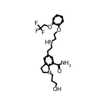 NC(=O)c1cc(CCNCCOc2ccccc2OCC(F)(F)F)cc2c1N(CCCO)CC2